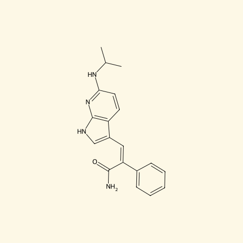 CC(C)Nc1ccc2c(C=C(C(N)=O)c3ccccc3)c[nH]c2n1